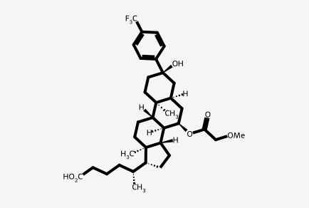 COCC(=O)O[C@@H]1C[C@@H]2C[C@@](O)(c3ccc(C(F)(F)F)cc3)CC[C@]2(C)[C@H]2CC[C@]3(C)[C@@H]([C@H](C)CCCC(=O)O)CC[C@H]3[C@H]12